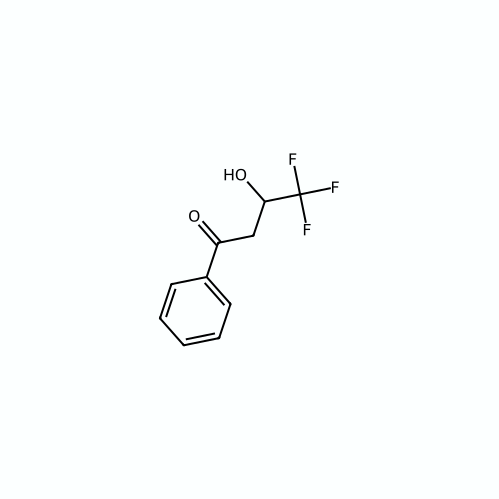 O=C(CC(O)C(F)(F)F)c1ccccc1